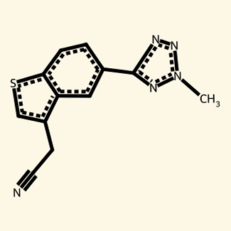 Cn1nnc(-c2ccc3scc(CC#N)c3c2)n1